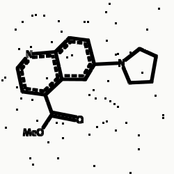 COC(=O)c1ccnc2ccc(N3CCCC3)cc12